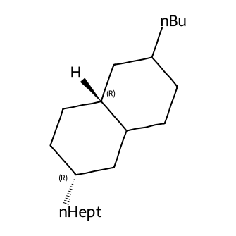 CCCCCCC[C@@H]1CC[C@@H]2CC(CCCC)CCC2C1